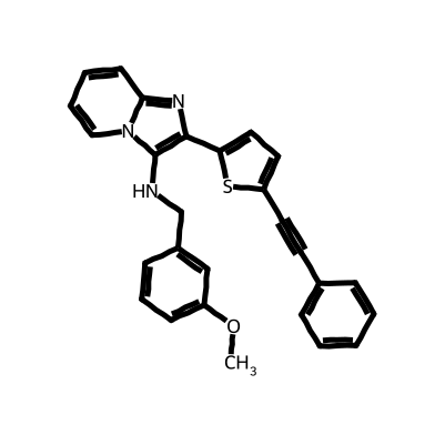 COc1cccc(CNc2c(-c3ccc(C#Cc4ccccc4)s3)nc3ccccn23)c1